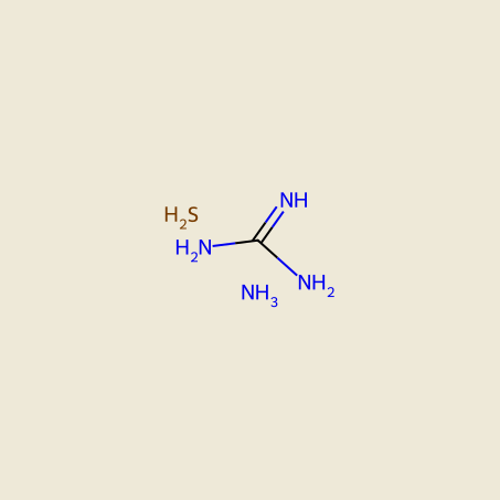 N.N=C(N)N.S